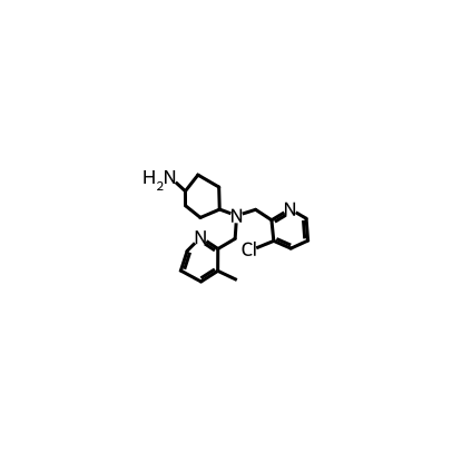 Cc1cccnc1CN(Cc1ncccc1Cl)C1CCC(N)CC1